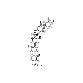 CCCCCc1ccc(-c2ccc(-c3cc(F)c(C(F)(F)Oc4cc(F)c(-c5ccc(F)c(F)c5)c(F)c4)c(F)c3)c(F)c2)c(F)c1